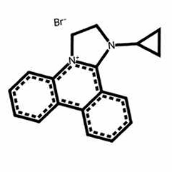 [Br-].c1ccc2c(c1)c1[n+](c3ccccc23)CCN1C1CC1